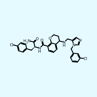 NC(=O)[C@H](Cc1ccc(Cl)cc1)NC(=O)c1cccc2c1OCCC2NCc1cncn1Cc1cccc(Cl)c1